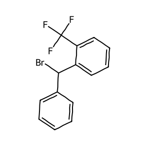 FC(F)(F)c1ccccc1C(Br)c1ccccc1